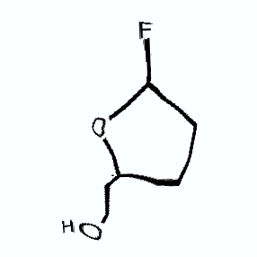 O[C]1CCC(F)O1